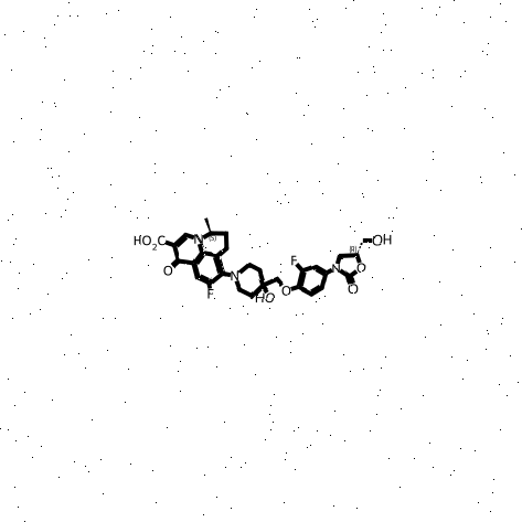 C[C@H]1CCc2c(N3CCC(O)(COc4ccc(N5C[C@H](CO)OC5=O)cc4F)CC3)c(F)cc3c(=O)c(C(=O)O)cn1c23